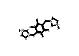 Cc1c(C)c(CN2CCN(C)C2)c(C)c(C)c1CN1CCNC1